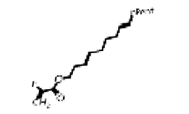 C=C(F)C(=O)OCCC=CCCCC=CCCCCC